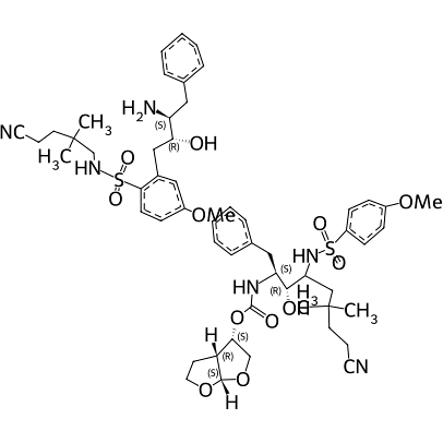 COc1ccc(S(=O)(=O)NC(CC(C)(C)CCC#N)[C@H](O)[C@H](Cc2ccccc2)NC(=O)O[C@@H]2CO[C@@H]3OCC[C@@H]32)cc1.COc1ccc(S(=O)(=O)NCC(C)(C)CCC#N)c(C[C@@H](O)[C@@H](N)Cc2ccccc2)c1